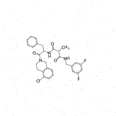 CC(C(=O)NCc1cc(F)cc(F)c1)C(=O)NC(Cc1ccccc1)C(=O)N1CCc2c(Cl)cccc2C1